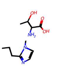 CC(O)C(N)C(=O)O.CCCc1nccn1C